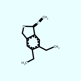 C=C=C1OCc2cc(CC)c(CC)cc21